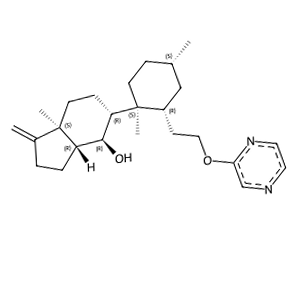 C=C1CC[C@H]2[C@H](O)[C@@H]([C@@]3(C)CC[C@H](C)C[C@@H]3CCOc3cnccn3)CC[C@]12C